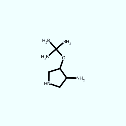 BC(B)(B)OC1CNCC1N